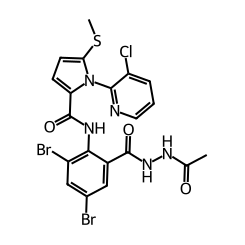 CSc1ccc(C(=O)Nc2c(Br)cc(Br)cc2C(=O)NNC(C)=O)n1-c1ncccc1Cl